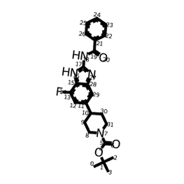 CC(C)(C)OC(=O)N1CCC(c2cc(F)c3[nH]c(NC(=O)c4ccccc4)nc3c2)CC1